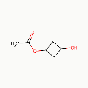 CC(=O)OC1CC(O)C1